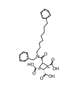 O=C(O)[C@H]1[C@H](C(=O)O)[C@H](C(=O)O)[C@H]1C(=O)N(CCCCCCCCc1ccccc1)Cc1ccccc1